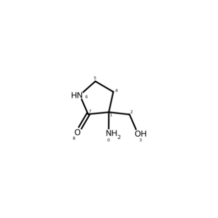 NC1(CO)CCNC1=O